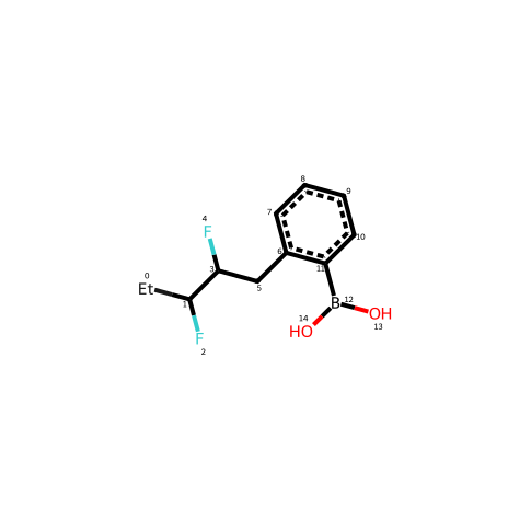 CCC(F)C(F)Cc1ccccc1B(O)O